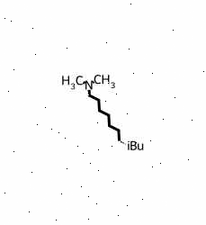 CC[C@@H](C)CCCCCCCN(C)C